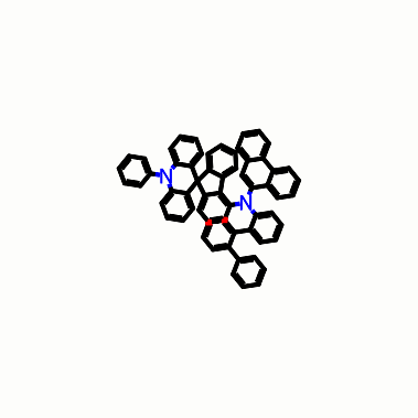 c1ccc(-c2ccccc2-c2ccccc2N(c2cccc3c2-c2ccccc2C32c3ccccc3N(c3ccccc3)c3ccccc32)c2cc3ccccc3c3ccccc23)cc1